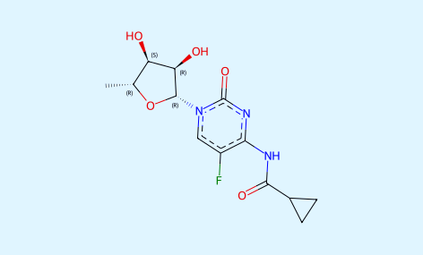 C[C@H]1O[C@@H](n2cc(F)c(NC(=O)C3CC3)nc2=O)[C@H](O)[C@@H]1O